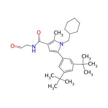 Cc1c(C(=O)NCC=O)cc(-c2cc(C(C)(C)C)cc(C(C)(C)C)c2)n1CC1CCCCC1